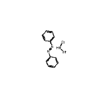 CCNCC.c1ccc(N=Nc2ccccc2)cc1